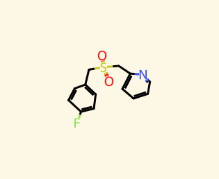 O=S(=O)(Cc1ccc(F)cc1)Cc1ccccn1